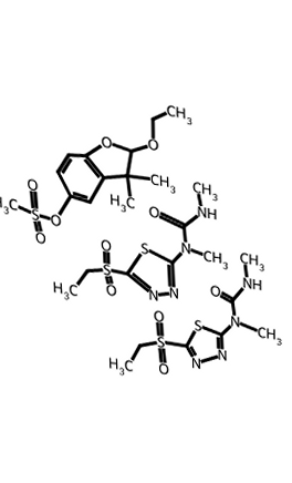 CCOC1Oc2ccc(OS(C)(=O)=O)cc2C1(C)C.CCS(=O)(=O)c1nnc(N(C)C(=O)NC)s1.CCS(=O)(=O)c1nnc(N(C)C(=O)NC)s1